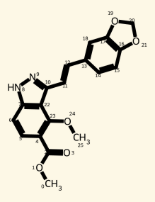 COC(=O)c1ccc2[nH]nc(/C=C/c3ccc4c(c3)OCO4)c2c1OC